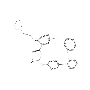 O=C(N[C@@H](Cc1ccc(-c2ccccc2Oc2ccccc2)cc1)C(=O)O)c1cc(Br)ccc1OCCN1CCCCC1